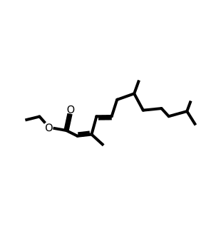 CCOC(=O)C=C(C)C=CCC(C)CCCC(C)C